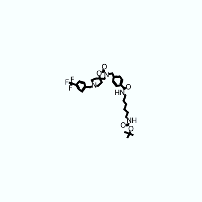 CC(C)(C)OC(=O)NCCCCCCNC(=O)c1ccc(CN2CC3(CCN(Cc4ccc(C(F)(F)F)cc4)CC3)OC2=O)cc1